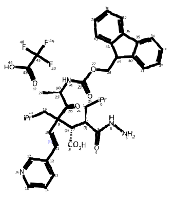 CC(C)C[C@@H](C(=O)NN)[C@H](C(=O)O)C(/C=C/c1cccnc1)(CC(C)C)C(=O)[C@@H](C)NC(=O)OCC1c2ccccc2-c2ccccc21.O=C(O)C(F)(F)F